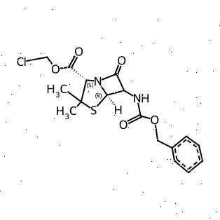 CC1(C)S[C@@H]2C(NC(=O)OCc3ccccc3)C(=O)N2[C@H]1C(=O)OCCl